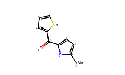 CSc1ccc(C(=O)c2cccs2)[nH]1